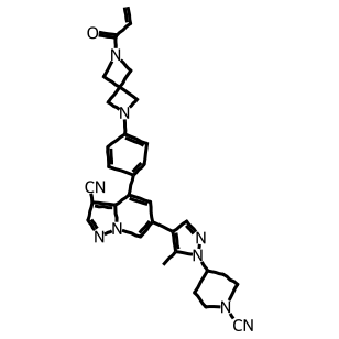 C=CC(=O)N1CC2(C1)CN(c1ccc(-c3cc(-c4cnn(C5CCN(C#N)CC5)c4C)cn4ncc(C#N)c34)cc1)C2